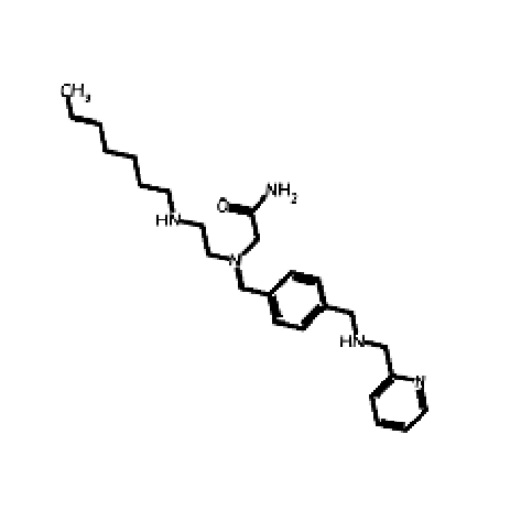 CCCCCCCNCCN(CC(N)=O)Cc1ccc(CNCc2ccccn2)cc1